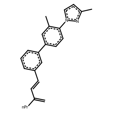 C=C(/C=C/c1cccc(-c2ccc(-n3ccc(C)n3)c(C)c2)c1)CCC